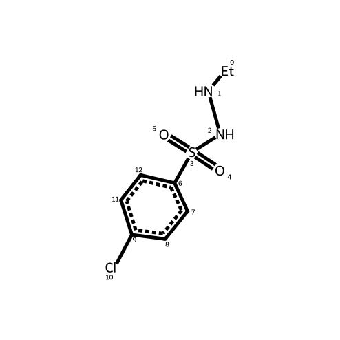 CCNNS(=O)(=O)c1ccc(Cl)cc1